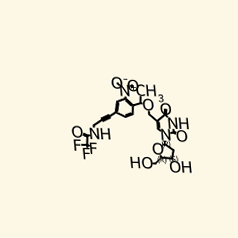 CC(OCc1cn([C@H]2C[C@H](O)[C@@H](CO)O2)c(=O)[nH]c1=O)c1ccc(C#CCNC(=O)C(F)(F)F)cc1[N+](=O)[O-]